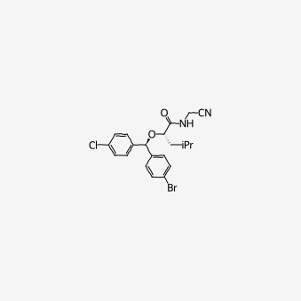 CC(C)C[C@H](O[C@H](c1ccc(Cl)cc1)c1ccc(Br)cc1)C(=O)NCC#N